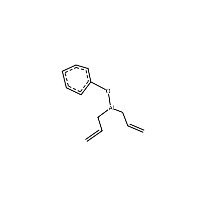 C=C[CH2][Al]([CH2]C=C)[O]c1ccccc1